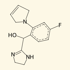 OC(C1=NCCN1)c1ccc(F)cc1N1CC=CC1